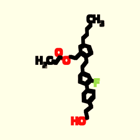 C=CC(=O)OCCc1cc(CCCCC)ccc1CCc1ccc(-c2ccc(CCCO)cc2)c(F)c1